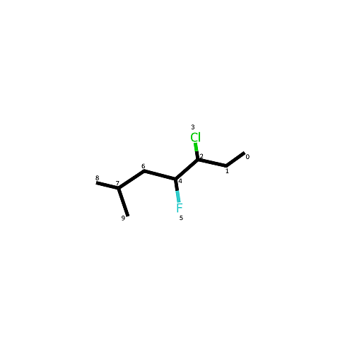 CCC(Cl)C(F)CC(C)C